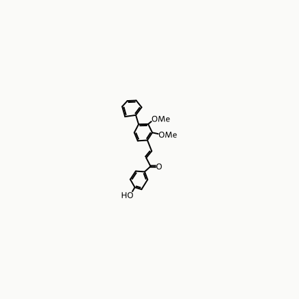 COc1c(C=CC(=O)c2ccc(O)cc2)ccc(-c2ccccc2)c1OC